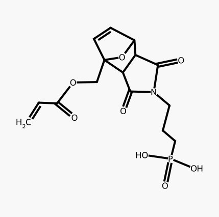 C=CC(=O)OCC12C=CC(O1)C1C(=O)N(CCCP(=O)(O)O)C(=O)C12